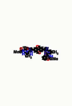 COC(=O)N[C@H](C(=O)N1C[C@@H](C)C[C@H]1c1ncc(C2C=C3COc4cc(-c5cnc([C@@H]6C[C@H](C)CN6C(=O)[C@H](NC(=O)OC)c6ccccc6)[nH]5)cc5c4C3=C(C2)OC5)[nH]1)C(C)C